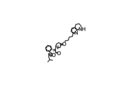 CC(C)COc1ccccc1[C@@H](C(=O)O)N1CC[C@@H](OCCCCc2ccc3c(n2)NCCC3)C1